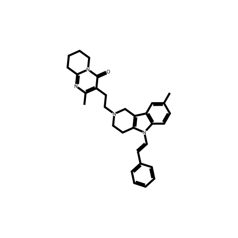 Cc1ccc2c(c1)c1c(n2C=Cc2ccccc2)CCN(CCc2c(C)nc3n(c2=O)CCCC3)C1